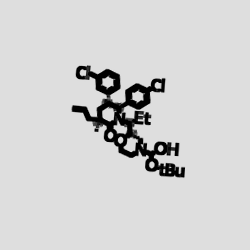 C=CC[C@@]1(C)C[C@H](c2cccc(Cl)c2)[C@@H](c2ccc(Cl)cc2)N([C@H](CC)[C@@H]2CN(C(O)OC(C)(C)C)CCO2)C1=O